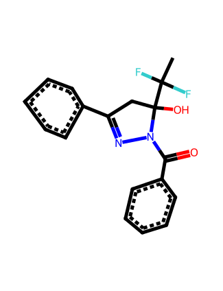 CC(F)(F)C1(O)CC(c2ccccc2)=NN1C(=O)c1ccccc1